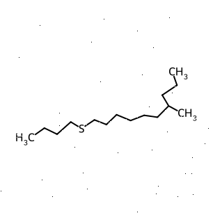 CCCCSCCCCCCC(C)CCC